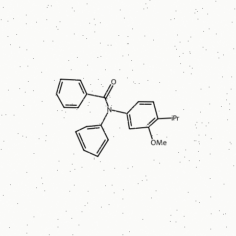 COc1cc(N(C(=O)c2ccccc2)c2ccccc2)ccc1C(C)C